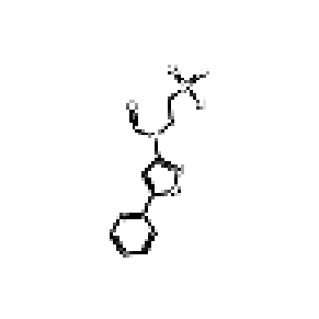 O=CN(CCS(=O)(=O)Cl)c1cc(-c2ccccc2)on1